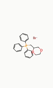 [Br-].c1ccc([P+](CC2COCCO2)(c2ccccc2)c2ccccc2)cc1